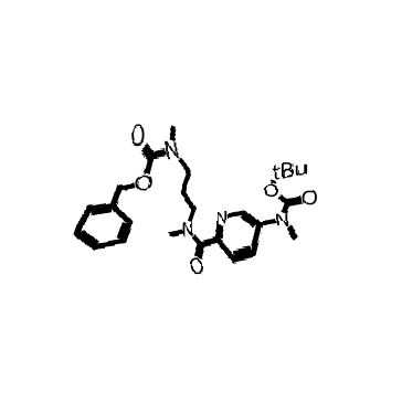 CN(CCCN(C)C(=O)c1ccc(N(C)C(=O)OC(C)(C)C)cn1)C(=O)OCc1ccccc1